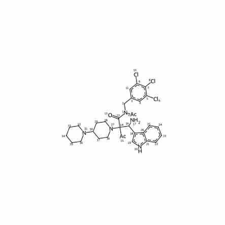 CC(=O)N(Cc1cc(Cl)c(Cl)c(Cl)c1)C(=O)C(C(C)=O)(C(N)c1c[nH]c2ccccc12)N1CCC(N2CCCCC2)CC1